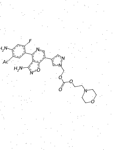 CC(=O)c1cc(-c2ncc(-c3cnn(COC(=O)OCCN4CCOCC4)c3)c3onc(N)c23)c(F)cc1N